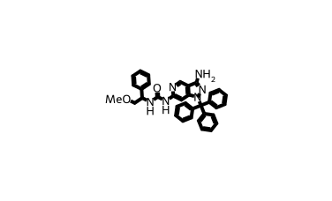 COCC(NC(=O)Nc1cc2c(cn1)c(N)nn2C(c1ccccc1)(c1ccccc1)c1ccccc1)c1ccccc1